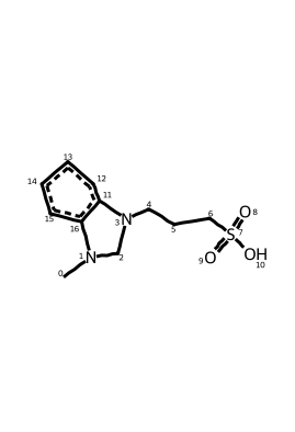 CN1CN(CCCS(=O)(=O)O)c2ccccc21